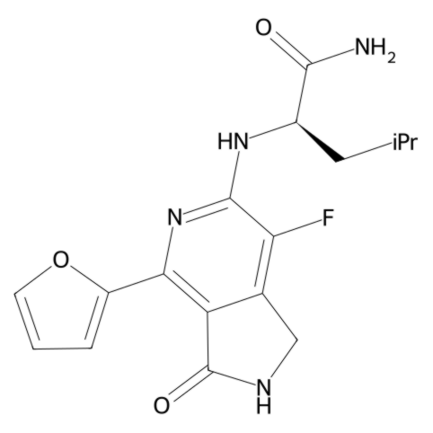 CC(C)C[C@@H](Nc1nc(-c2ccco2)c2c(c1F)CNC2=O)C(N)=O